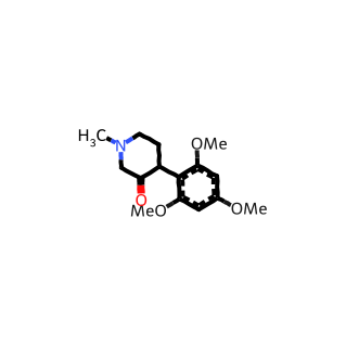 COc1cc(OC)c(C2CCN(C)CC2=O)c(OC)c1